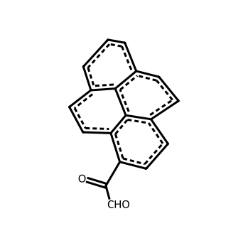 O=CC(=O)c1ccc2ccc3cccc4ccc1c2c34